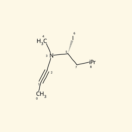 CC#CN(C)[C@H](I)CC(C)C